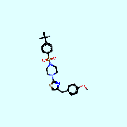 COc1ccc(Cc2csc(N3CCN(S(=O)(=O)c4ccc(C(C)(C)C)cc4)CC3)n2)cc1